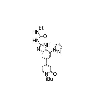 CCNC(=O)Nc1nc2cc(-c3ccn([C@@H](C)CC)c(=O)c3)cc(-n3cccn3)c2[nH]1